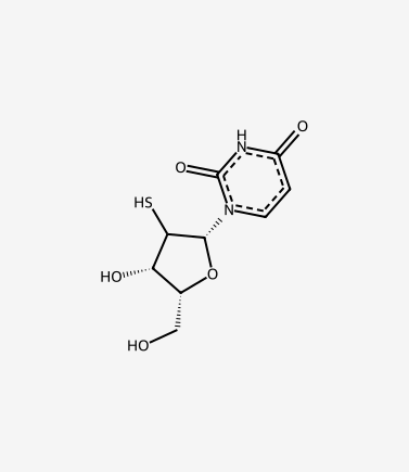 O=c1ccn([C@@H]2O[C@H](CO)[C@H](O)C2S)c(=O)[nH]1